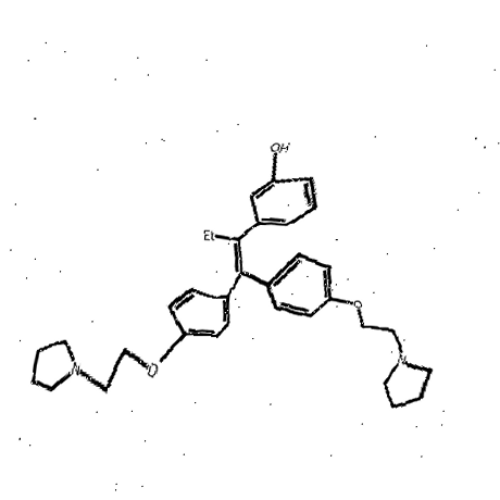 CCC(=C(c1ccc(OCCN2CCCC2)cc1)c1ccc(OCCN2CCCC2)cc1)c1cccc(O)c1